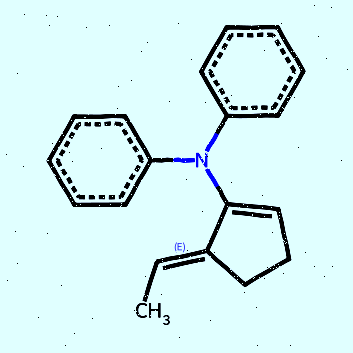 C/C=C1\CCC=C1N(c1ccccc1)c1ccccc1